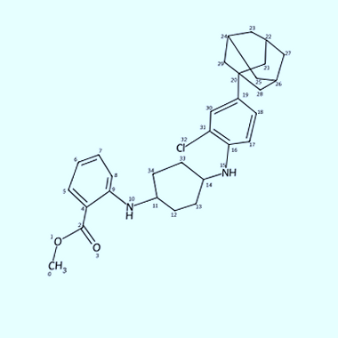 COC(=O)c1ccccc1NC1CCC(Nc2ccc(C34CC5CC(CC(C5)C3)C4)cc2Cl)CC1